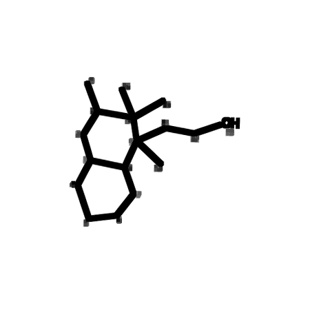 CC1CC2CCCCC2C(C)(CCO)C1(C)C